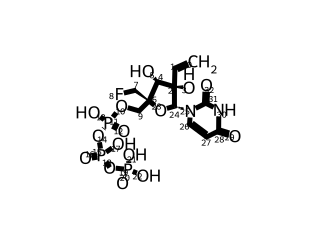 C=C[C@@]1(O)[C@H](O)[C@@](CF)(COP(=O)(O)OP(=O)(O)OP(=O)(O)O)O[C@H]1n1ccc(=O)[nH]c1=O